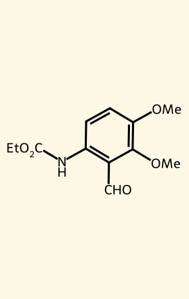 CCOC(=O)Nc1ccc(OC)c(OC)c1C=O